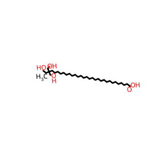 CC(CO)C(CO)(CO)CCCCCCCCCCCCCCCCCCCCCCCCCCCC(=O)O